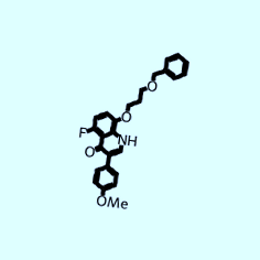 COc1ccc(-c2c[nH]c3c(OCCCOCc4ccccc4)ccc(F)c3c2=O)cc1